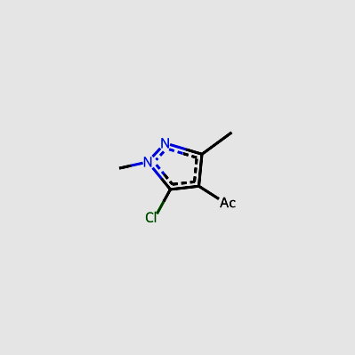 CC(=O)c1c(C)nn(C)c1Cl